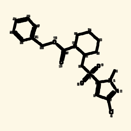 Cn1nc(Cl)cc1S(=O)(=O)CC1CCCCN1C(=O)OCc1ccccc1